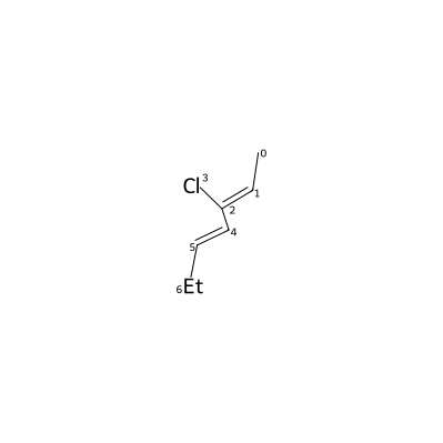 CC=C(Cl)C=CCC